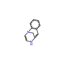 C1=CN2CC(=Cc3ccccc32)N1